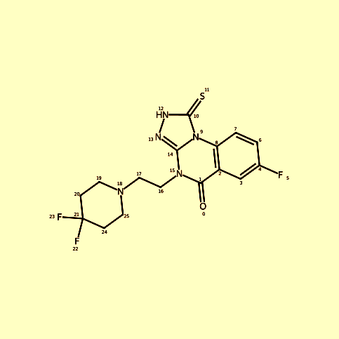 O=c1c2cc(F)ccc2n2c(=S)[nH]nc2n1CCN1CCC(F)(F)CC1